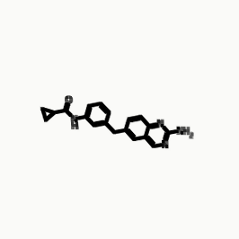 Nc1ncc2cc(Cc3cccc(NC(=O)C4CC4)c3)ccc2n1